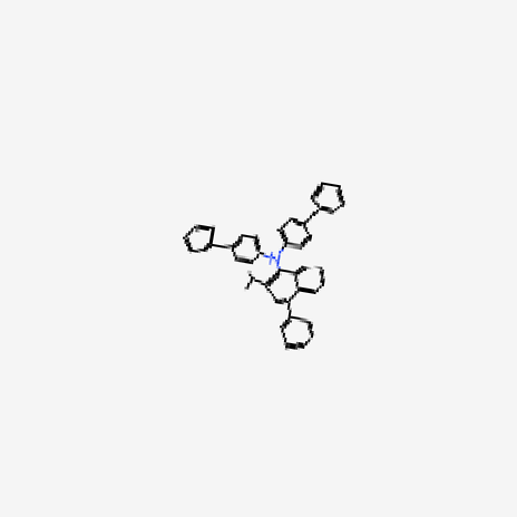 CC(C)c1cc(-c2ccccc2)c2ccccc2c1N(c1ccc(-c2ccccc2)cc1)c1ccc(-c2ccccc2)cc1